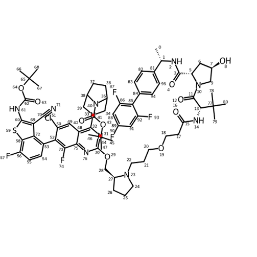 C[C@H](NC(=O)[C@@H]1C[C@@H](O)CN1C(=O)[C@@H](NC(=O)CCOCCCN1CCC[C@H]1COc1nc(N2CC3CCC(C2)N3C(=O)OC(C)(C)C)c2cc(Cl)c(-c3ccc(F)c4sc(NC(=O)OC(C)(C)C)c(C#N)c34)c(F)c2n1)C(C)(C)C)c1ccc(-c2c(F)cc(F)cc2F)cc1